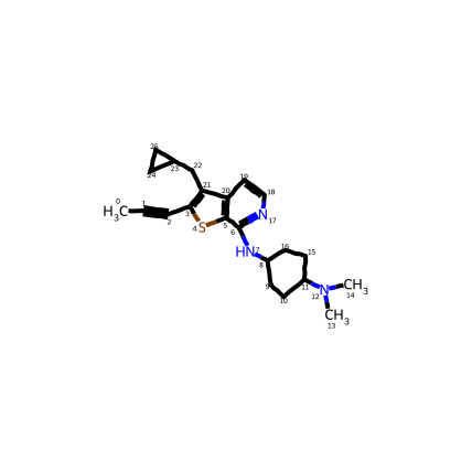 CC#Cc1sc2c(NC3CCC(N(C)C)CC3)nccc2c1CC1CC1